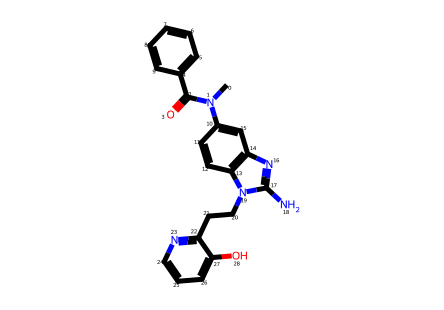 CN(C(=O)c1ccccc1)c1ccc2c(c1)nc(N)n2CCc1ncccc1O